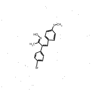 CSc1ccc(C=C(C(C)=NO)c2ccc(Br)cc2)cc1